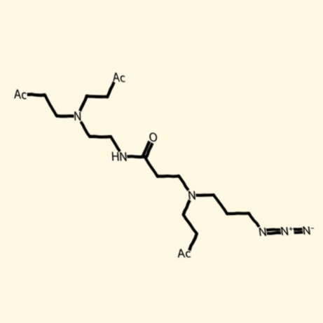 CC(=O)CCN(CCNC(=O)CCN(CCCN=[N+]=[N-])CCC(C)=O)CCC(C)=O